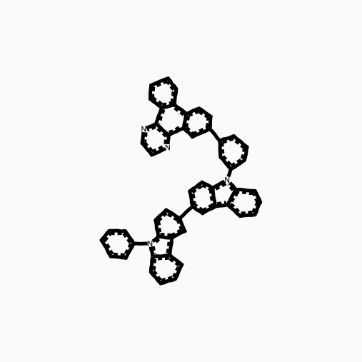 c1ccc(-n2c3ccccc3c3cc(-c4ccc5c(c4)c4ccccc4n5-c4cccc(-c5ccc6c7ccccc7c7nccnc7c6c5)c4)ccc32)cc1